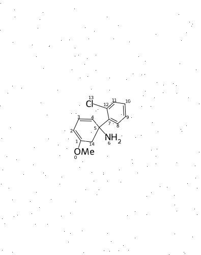 COC1=CC=CC(N)(c2ccccc2Cl)C1